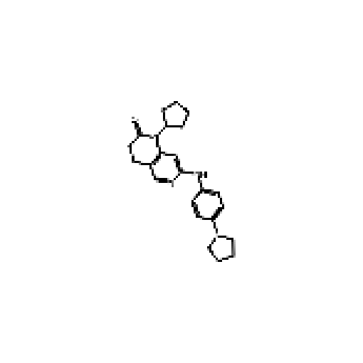 O=C1CCc2cnc(Nc3ccc(N4CCCC4)cc3)cc2N1C1CCCC1